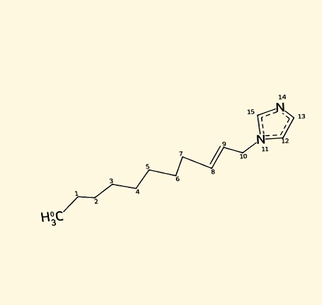 CCCCCCCCC=CCn1ccnc1